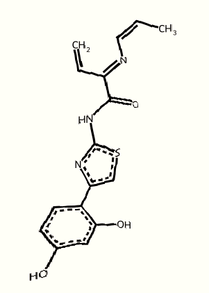 C=C/C(=N\C=C/C)C(=O)Nc1nc(-c2ccc(O)cc2O)cs1